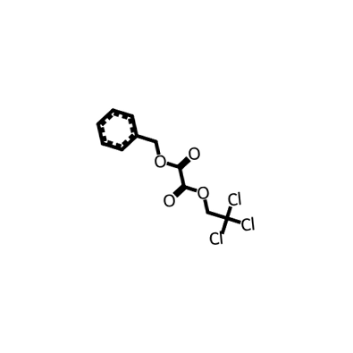 O=C(OCc1ccccc1)C(=O)OCC(Cl)(Cl)Cl